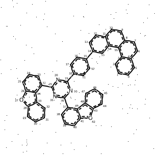 c1ccc2c(c1)ccc1ccc3ccc(-c4ccc(-c5nc(-c6cccc7oc8ccccc8c67)nc(-c6cccc7oc8ccccc8c67)n5)cc4)cc3c12